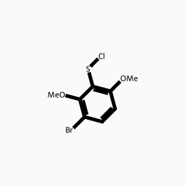 COc1ccc(Br)c(OC)c1SCl